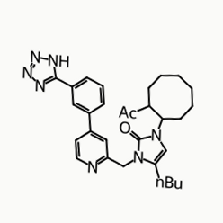 CCCCc1cn(C2CCCCCCC2C(C)=O)c(=O)n1Cc1cc(-c2cccc(-c3nnn[nH]3)c2)ccn1